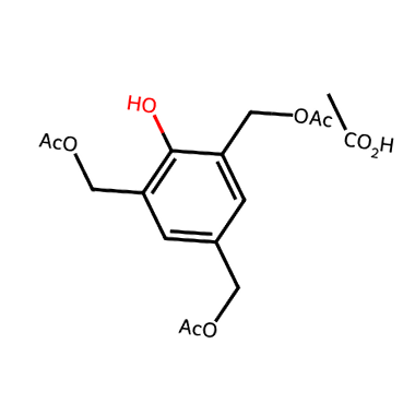 CC(=O)O.CC(=O)OCc1cc(COC(C)=O)c(O)c(COC(C)=O)c1